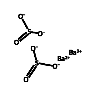 O=S([O-])[O-].O=S([O-])[O-].[Ba+2].[Ba+2]